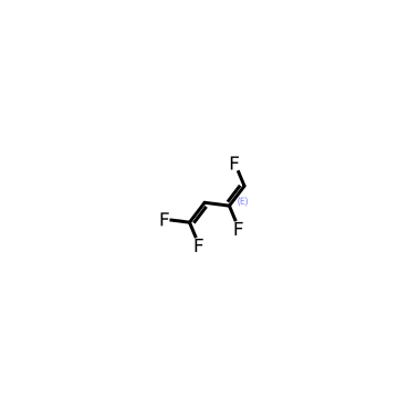 F/C=C(/F)C=C(F)F